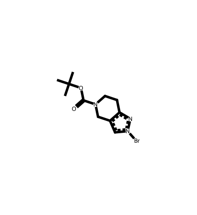 CC(C)(C)OC(=O)N1CCc2nn(Br)cc2C1